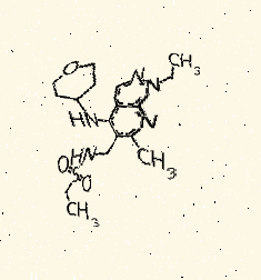 CCn1ncc2c(NC3CCOCC3)c(CNS(=O)(=O)CC)c(C)nc21